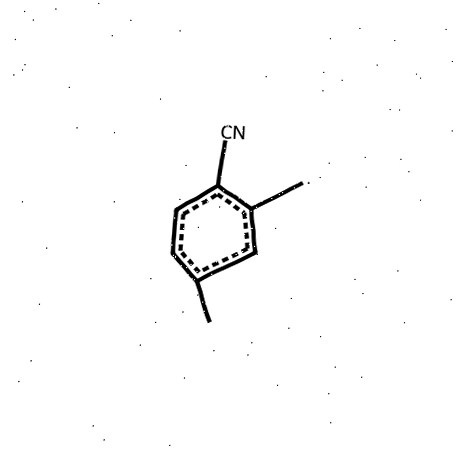 [CH2]c1cc(C)ccc1C#N